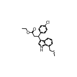 CCOC(=O)CC(c1ccc(Cl)cc1)c1c[nH]c2c(CSC)cccc12